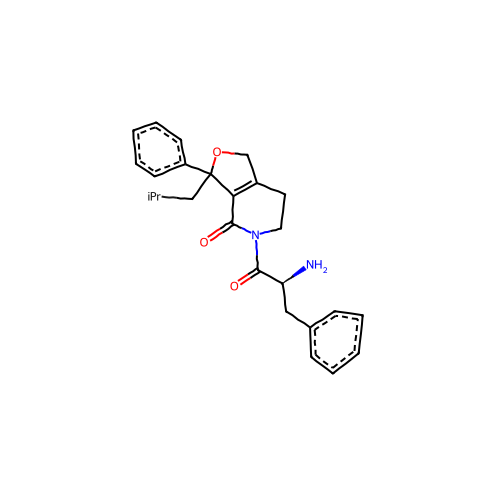 CC(C)CC1(c2ccccc2)OCC2=C1C(=O)N(C(=O)[C@@H](N)Cc1ccccc1)CC2